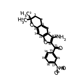 CC1(C)CCc2cc3c(N)c(C(=O)c4cccc([N+](=O)[O-])c4)oc3cc2O1